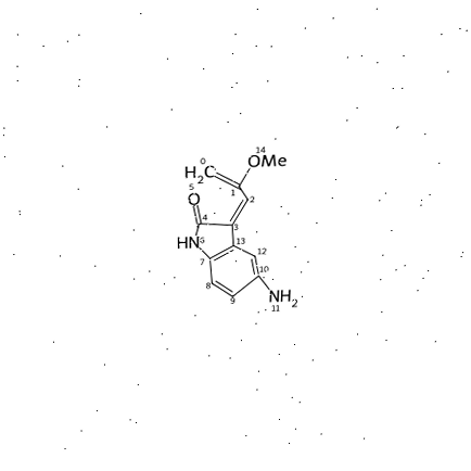 C=C(C=C1C(=O)Nc2ccc(N)cc21)OC